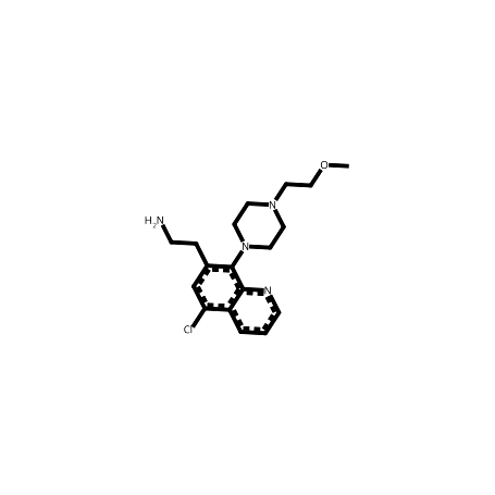 COCCN1CCN(c2c(CCN)cc(Cl)c3cccnc23)CC1